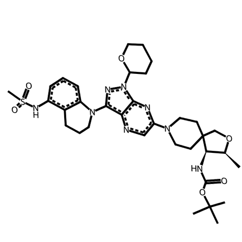 C[C@@H]1OCC2(CCN(c3cnc4c(N5CCCc6c(NS(C)(=O)=O)cccc65)nn(C5CCCCO5)c4n3)CC2)[C@@H]1NC(=O)OC(C)(C)C